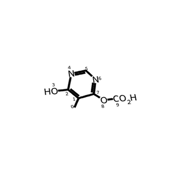 Cc1c(O)ncnc1OC(=O)O